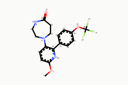 COc1ccc(N2CCNC(=O)CC2)c(-c2ccc(OC(F)(F)F)cc2)n1